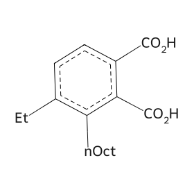 CCCCCCCCc1c(CC)ccc(C(=O)O)c1C(=O)O